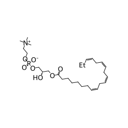 CC/C=C\C/C=C\C/C=C\C/C=C\CCCCCCC(=O)OC[C@@H](O)COP(=O)([O-])OCC[N+](C)(C)C